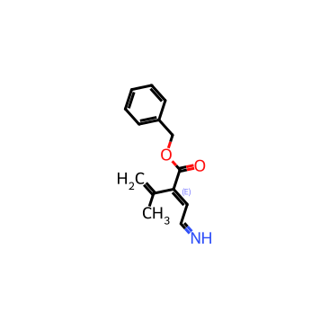 C=C(C)/C(=C\C=N)C(=O)OCc1ccccc1